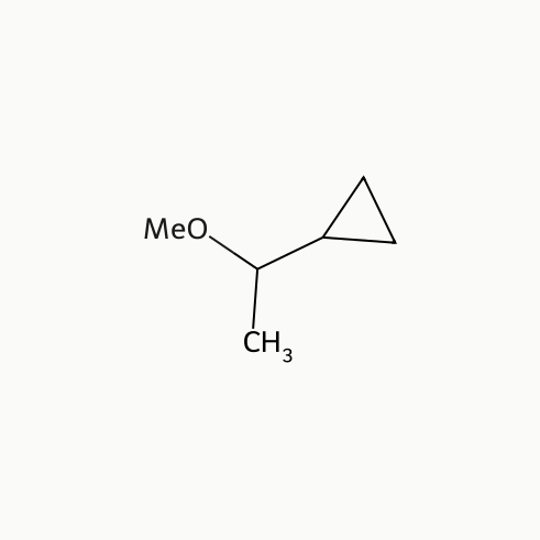 COC(C)C1CC1